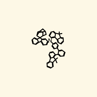 CC1(C)c2ccccc2-c2c(N(c3ccc(-c4ccccc4-c4cccc5c4C(C)(C)c4ccccc4-5)cc3)c3ccc4c(c3)C3(c5ccccc5-4)C4CC5CC(C4)CC3C5)cccc21